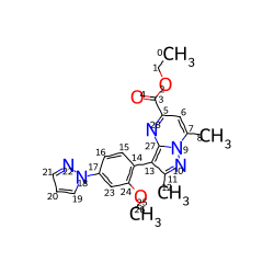 CCOC(=O)c1cc(C)n2nc(C)c(-c3ccc(-n4cccn4)cc3OC)c2n1